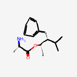 CC(C)[C@@H](Cc1ccccc1)[C@H](C)OC(=O)[C@H](C)N